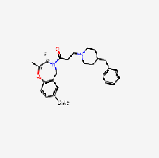 COc1ccc2c(c1)CN(C(=O)CCN1CCC(Cc3ccccc3)CC1)[C@@H](C)[C@H](C)O2